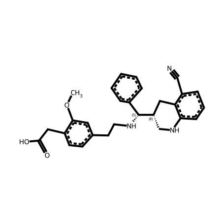 COc1cc(CCN[C@H](c2ccccc2)[C@H]2CNc3cccc(C#N)c3C2)ccc1CC(=O)O